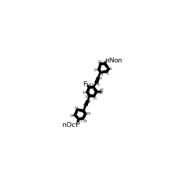 CCCCCCCCCc1ccc(C#Cc2c(F)cc(C#Cc3ccc(CCCCCCCC)cc3)cc2F)cc1